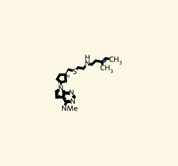 C/C=C(\C)CCNCCSC[C@@H]1CC[C@H](n2ccc3c(NC)ncnc32)C1